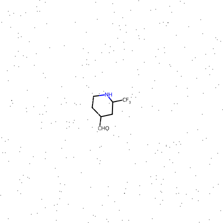 O=CC1CCNC(C(F)(F)F)C1